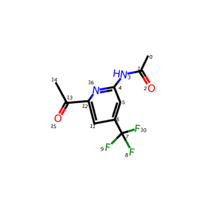 CC(=O)Nc1cc(C(F)(F)F)cc(C(C)=O)n1